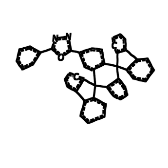 c1ccc(-c2nnc(-c3ccc4c(c3)C3(c5ccccc5-c5ccccc53)c3ccccc3C43c4ccccc4-c4ccccc43)o2)cc1